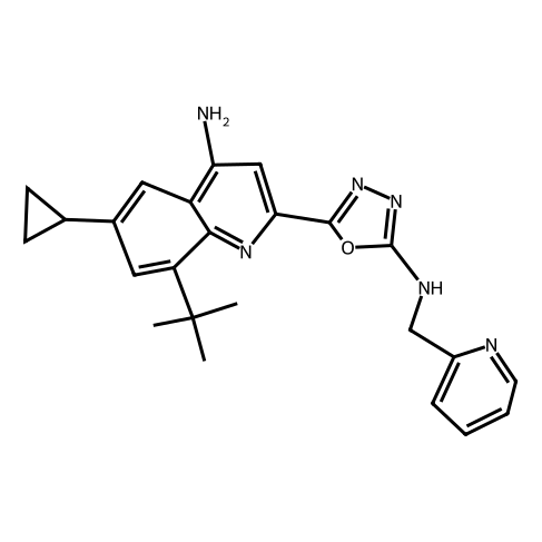 CC(C)(C)c1cc(C2CC2)cc2c(N)cc(-c3nnc(NCc4ccccn4)o3)nc12